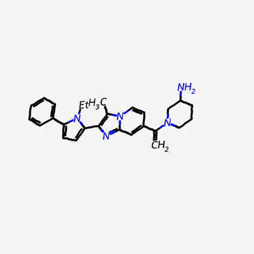 C=C(c1ccn2c(C)c(-c3ccc(-c4ccccc4)n3CC)nc2c1)N1CCCC(N)C1